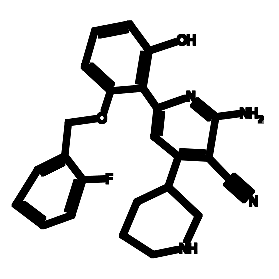 N#Cc1c(C2CCCNC2)cc(-c2c(O)cccc2OCc2ccccc2F)nc1N